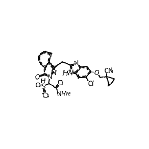 CNC(=O)C(n1nc(Cc2nc3cc(OCC4(C#N)CC4)c(Cl)cc3[nH]2)c2ccccc2c1=O)[SH](=O)=O